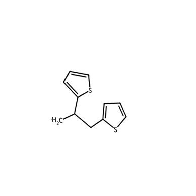 [CH2]C(Cc1cccs1)c1cccs1